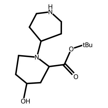 CC(C)(C)OC(=O)C1CC(O)CCN1C1CCNCC1